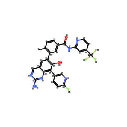 Cc1ccc(C(=O)Nc2cc(C(F)(F)F)ccn2)cc1-c1cc2cnc(N)nc2c(-c2ccc(F)nc2)c1O